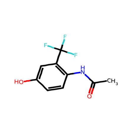 CC(=O)Nc1ccc(O)cc1C(F)(F)F